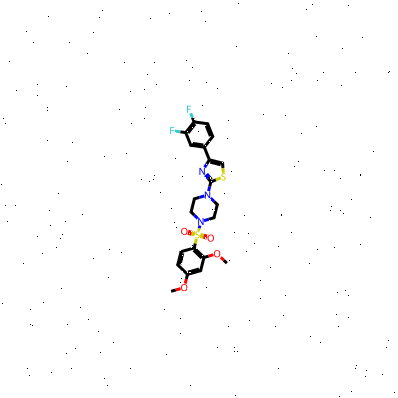 COc1ccc(S(=O)(=O)N2CCN(c3nc(-c4ccc(F)c(F)c4)cs3)CC2)c(OC)c1